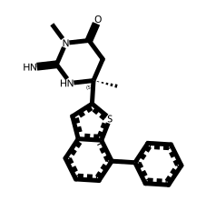 CN1C(=N)N[C@](C)(c2cc3cccc(-c4ccccc4)c3s2)CC1=O